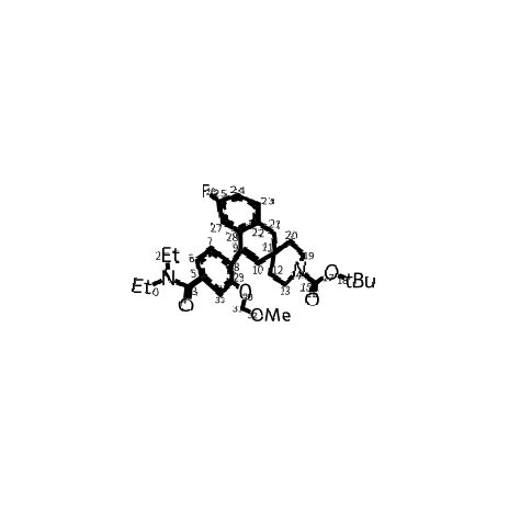 CCN(CC)C(=O)c1ccc(C2=CC3(CCN(C(=O)OC(C)(C)C)CC3)Cc3ccc(F)cc32)c(OCOC)c1